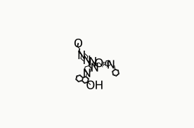 O=CC=CN1CCN(c2nc(OC[C@@H]3CCN(Cc4ccccc4)C3)nc3c2CCN(c2cc(O)cc4ccccc24)C3)CC1